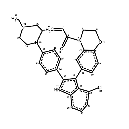 C=CC(=O)N1CCOc2ccc(-c3c(-c4ccc(N5CCN(C)CC5)cc4)[nH]c4nccc(Cl)c34)cc21